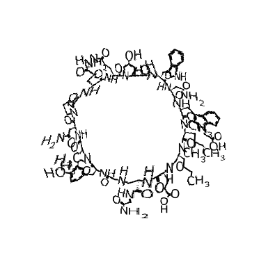 CCCC[C@H]1C(=O)N(C)[C@@H](CCCC)C(=O)N[C@@H](CCC(=O)O)C(=O)N[C@H](C(=O)NCC(N)=O)CNCC(=O)N[C@@H](Cc2ccc(O)cc2)C(=O)N(C)[C@@H](C)C(=O)N[C@@H](CC(N)=O)C(=O)N2CCC[C@H]2C(=O)N[C@@H](CCC(N)=O)C(=O)N[C@@H](CCC(N)=O)C(=O)N2C[C@H](O)C[C@H]2C(=O)N[C@@H](Cc2c[nH]c3ccccc23)C(=O)N[C@@H](CC(N)=O)C(=O)N[C@@H](Cc2cn(CC(=O)O)c3ccccc23)C(=O)N1C